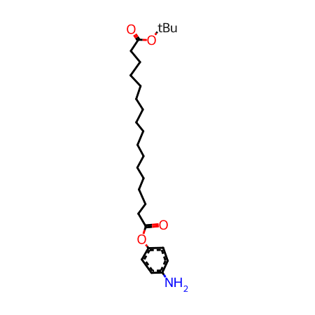 CC(C)(C)OC(=O)CCCCCCCCCCCCCCCC(=O)Oc1ccc(N)cc1